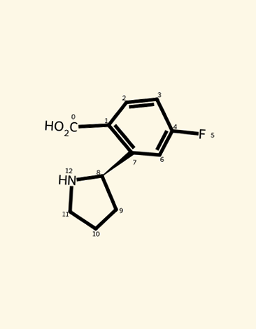 O=C(O)c1ccc(F)cc1[C@H]1CCCN1